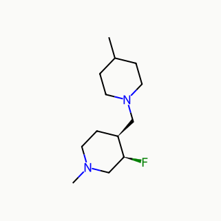 CC1CCN(C[C@@H]2CCN(C)C[C@@H]2F)CC1